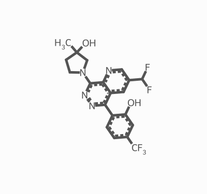 CC1(O)CCN(c2nnc(-c3ccc(C(F)(F)F)cc3O)c3cc(C(F)F)cnc23)C1